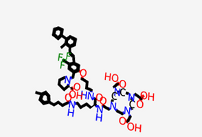 Cc1ccc(CCCC(=O)NCCCC[C@H](NC(=O)CN2CCN(CC(=O)O)CCN(CC(=O)O)CCN(CC(=O)O)CC2)C(=O)NCCCCOc2cc(/C=C/c3cccc(-c4ccccc4)c3C)c(C(F)(F)F)cc2CN2CCCC[C@H]2C(=O)O)cc1